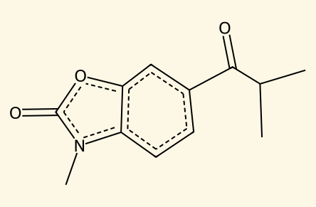 CC(C)C(=O)c1ccc2c(c1)oc(=O)n2C